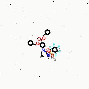 CN(CC(=O)N(CC1CC1)c1ccc(C(=O)OCc2ccccc2)c(OCc2ccccc2)c1)S(=O)(=O)c1c(F)c(F)c(F)c(F)c1F